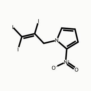 O=[N+]([O-])c1cccn1CC(I)=C(I)I